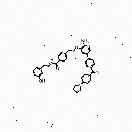 Nc1ncc(-c2ccc(C(=O)N3CCC(N4CCCC4)CC3)cc2)cc1OCCc1ccc(C(=O)NCCc2cccc(O)c2)cc1